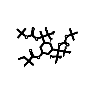 CCC(C)(F)C(=O)OC1CC(C(C)(OC(=O)OC(C)(C)C)C(F)(F)F)CC(C(OC(=O)OC(C)(C)C)(C(F)(F)F)C(F)(F)F)C1